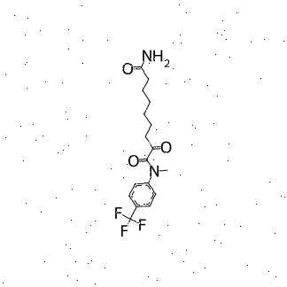 CN(C(=O)C(=O)CCCCCCC(N)=O)c1ccc(C(F)(F)F)cc1